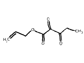 C=CCOC(=O)C(=O)C(=O)CC